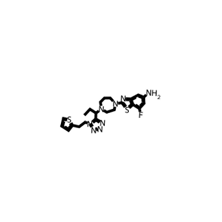 CCC(c1nnnn1CCc1cccs1)N1CCCN(c2nc3cc(N)cc(F)c3s2)CC1